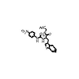 N#CCNC(=O)C(Cc1csc2ccccc12)NC(=O)Nc1ccc([N+](=O)[O-])cc1